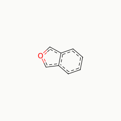 c1ccc2cocc2c1